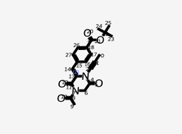 CC#CN1C(=O)CN(C(C)=O)C(=O)/C1=C/c1ccc(C(=O)OC(C)(C)C)cc1